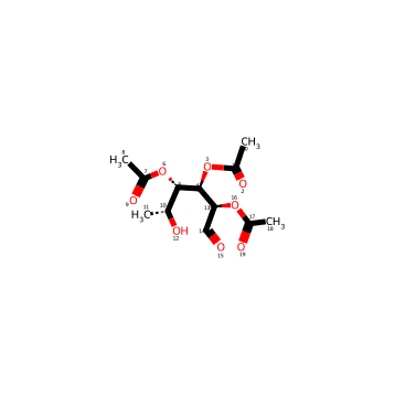 CC(=O)O[C@H]([C@@H](OC(C)=O)[C@@H](C)O)[C@H](C=O)OC(C)=O